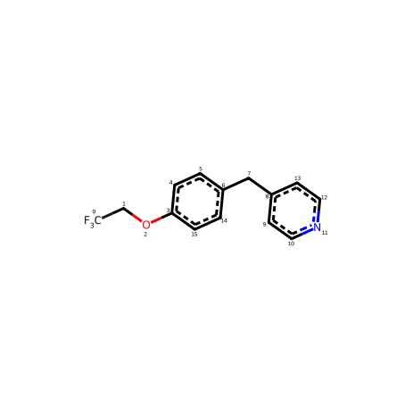 FC(F)(F)COc1ccc(Cc2ccncc2)cc1